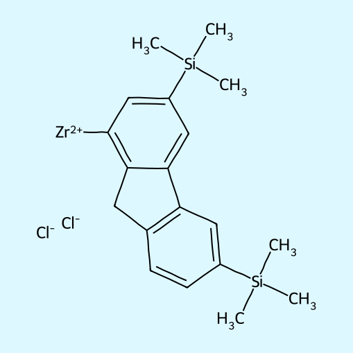 C[Si](C)(C)c1ccc2c(c1)-c1cc([Si](C)(C)C)c[c]([Zr+2])c1C2.[Cl-].[Cl-]